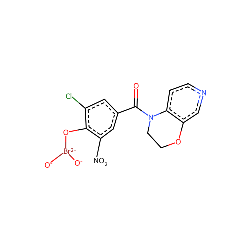 O=C(c1cc(Cl)c(O[Br+2]([O-])[O-])c([N+](=O)[O-])c1)N1CCOc2cnccc21